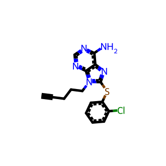 C#CCCCn1c(Sc2ccccc2Cl)nc2c(N)ncnc21